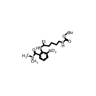 CCC(CCCCNC(=O)OC(C)(C)C)Nc1c(C(=O)N(C)C)cccc1[N+](=O)[O-]